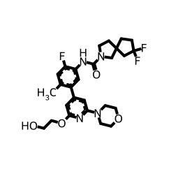 Cc1cc(F)c(NC(=O)N2CCC3(CCC(F)(F)C3)C2)cc1-c1cc(OCCO)nc(N2CCOCC2)c1